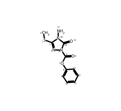 CSc1nn(C(=O)Oc2ccccc2)c(=O)n1N